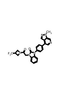 Cn1ncc2c(-c3ccc(-n4c(=O)n(CC(=O)N5CC(C(F)(F)F)C5)c5ccccc54)cc3)cncc21